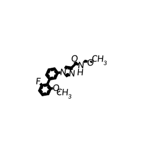 COCNC(=O)c1cn(-c2cccc(-c3c(F)cccc3OC)c2)cn1